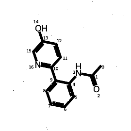 CC(=O)Nc1ccccc1-c1ccc(O)cn1